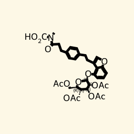 CC(=O)OC[C@H]1O[C@@H](Oc2cccc3occ(CCc4ccc(CCC(=O)N(C)C(=O)O)cc4)c23)[C@H](OC(C)=O)[C@@H](OC(C)=O)[C@@H]1OC(C)=O